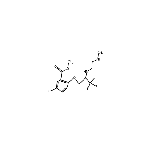 CNCCNC(COc1ccc(Cl)cc1C(=O)OC)C(F)(F)F